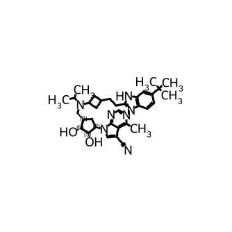 Cc1ncnc2c1c(C#N)cn2[C@@H]1C[C@H](CN(C(C)C)C2CC(CCc3nc4ccc(C(C)(C)C)cc4[nH]3)C2)[C@@H](O)[C@H]1O